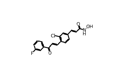 O=C(/C=C/c1ccc(/C=C/C(=O)c2cccc(F)c2)c(Cl)c1)NO